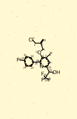 C=C(CCl)COc1c(I)cc(C(O)C(F)(F)F)nc1-c1ccc(F)cc1